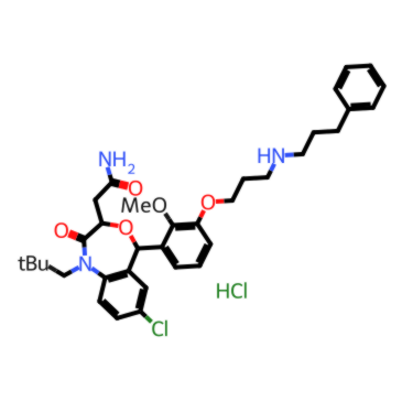 COc1c(OCCCNCCCc2ccccc2)cccc1C1OC(CC(N)=O)C(=O)N(CC(C)(C)C)c2ccc(Cl)cc21.Cl